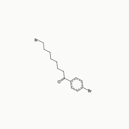 O=C(CCCCCCCBr)c1ccc(Br)cc1